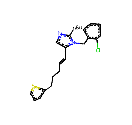 CCCCc1ncc(C=CCCCc2cccs2)n1Cc1ccccc1Cl